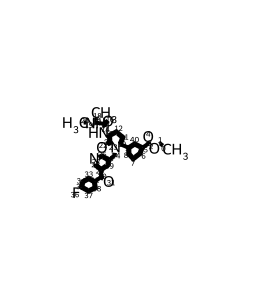 CCOC(=O)c1cccc(-c2ccc(NC(=O)[C@H](C)NC)c(=O)n2Cc2cncc(C(=O)c3ccc(F)cc3)c2)c1